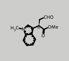 COC(=O)[C@H](CC=O)c1cn(C)c2ccccc12